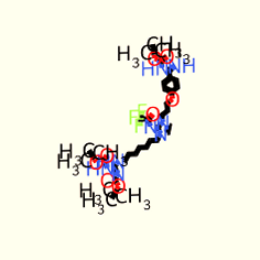 CC(C)(C)OC(=O)N=C(NCCCCCCCn1ccn(CCCOc2ccc(C(=N)NC(=O)OC(C)(C)C)cc2)c1=NC(=O)C(F)(F)F)NC(=O)OC(C)(C)C